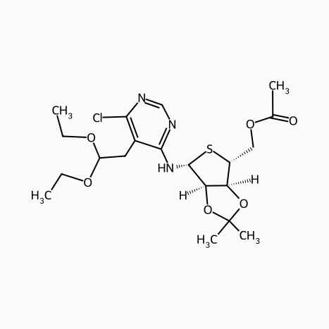 CCOC(Cc1c(Cl)ncnc1N[C@@H]1S[C@H](COC(C)=O)[C@H]2OC(C)(C)O[C@H]21)OCC